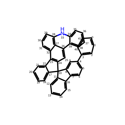 c1ccc(-c2ccc3c(c2)C2(c4ccccc4-3)c3ccccc3-c3c2cc2c4c(cccc34)Nc3ccccc3-2)cc1